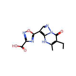 CCc1c(C)[nH]c2c(-c3nc(C(=O)O)no3)cnn2c1=O